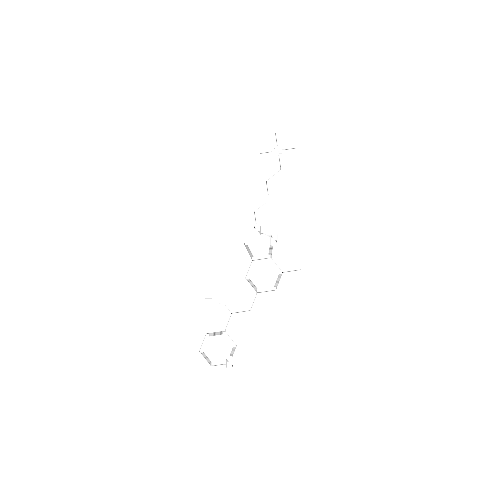 Cc1cc(CC(O)c2cccnc2)cc2cn(COCC[Si](C)(C)C)nc12